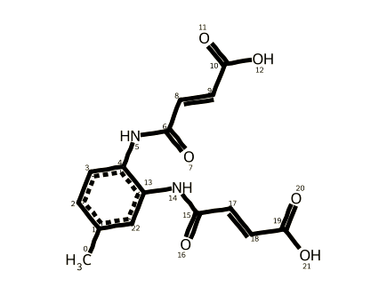 Cc1ccc(NC(=O)C=CC(=O)O)c(NC(=O)C=CC(=O)O)c1